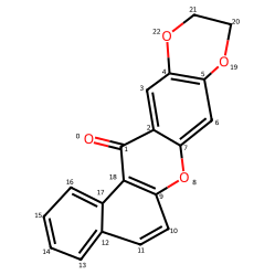 O=c1c2cc3c(cc2oc2ccc4ccccc4c12)OCCO3